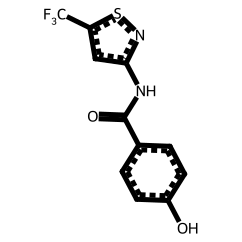 O=C(Nc1cc(C(F)(F)F)sn1)c1ccc(O)cc1